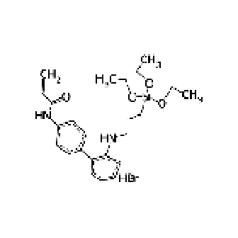 Br.C=CC(=O)Nc1ccc(-c2ccccc2NCCC[Si](OCC)(OCC)OCC)cc1